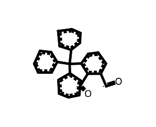 O=[C]c1cccc(C(c2ccccc2)(c2ccccc2)c2ccccc2)c1[C]=O